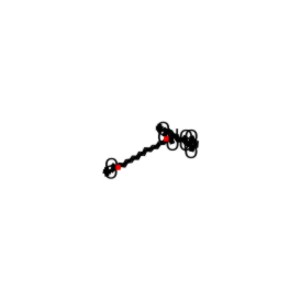 CC(C)(C)OC(=O)CCCCCCCCCCCCCCCCC(=O)N(CCC(=O)ON1C(=O)CCC1=O)CC(=O)OC(C)(C)C